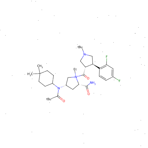 CC[N+]1(C(=O)[C@@H]2CN(C(C)(C)C)C[C@H]2c2ccc(F)cc2F)C[C@@H](N(C(=O)C(C)(C)C)C2CCC(C)(C)CC2)C[C@H]1C(N)=O